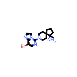 CC1(N)CCCC12CCN(c1ncc(Br)c3nccn13)CC2